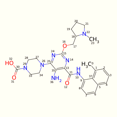 Cc1cccc2cccc(NC(=O)c3nc(OCC4CCCN4C)nc(N4CCN(C(=O)O)CC4)c3N)c12